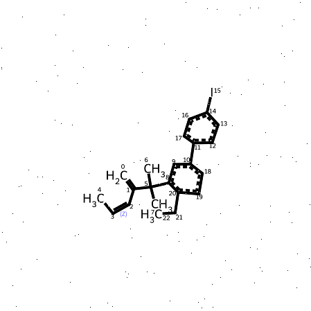 C=C(/C=C\C)C(C)(C)c1cc(-c2ccc(I)cc2)ccc1CC